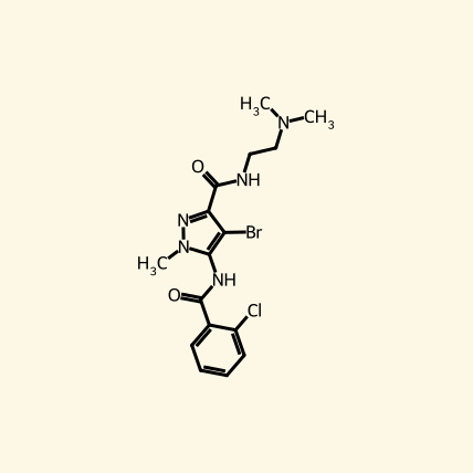 CN(C)CCNC(=O)c1nn(C)c(NC(=O)c2ccccc2Cl)c1Br